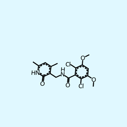 COc1cc(OC)c(Cl)c(C(=O)NCc2c(C)cc(C)[nH]c2=O)c1Cl